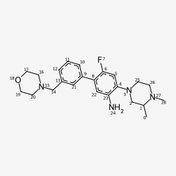 CC1CN(c2cc(F)c(-c3cccc(CN4CCOCC4)c3)cc2N)CCN1C